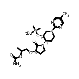 CC(CO[C@@H]1CCN([C@H]2CCN(c3ncc(C(F)(F)F)cn3)C[C@H]2O[Si](C)(C)C(C)(C)C)C1=O)OC(N)=O